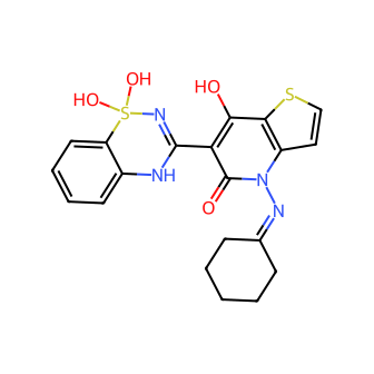 O=c1c(C2=NS(O)(O)c3ccccc3N2)c(O)c2sccc2n1N=C1CCCCC1